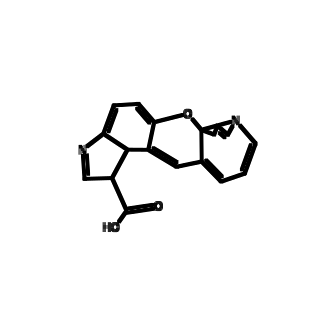 O=C(O)C1C=NC2=CC=C3OC45CC=CN4C=CC=C5C=C3C21